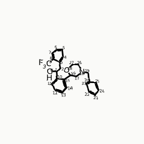 OC(Cc1ccccc1C(F)(F)F)c1ccccc1C1CN(Cc2ccccc2)CCO1